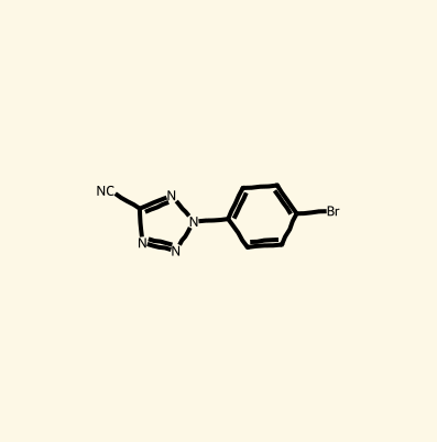 N#Cc1nnn(-c2ccc(Br)cc2)n1